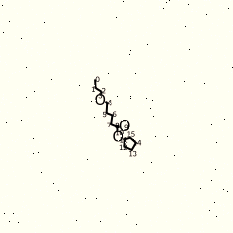 CCCOCCCCC(=O)OC1CCCC1